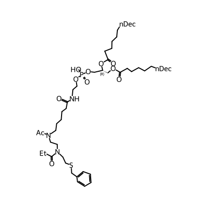 CCCCCCCCCCCCCCCC(=O)OC[C@H](COP(=O)(O)OCCNC(=O)CCCCCN(CCN(CCSCc1ccccc1)C(=O)CC)C(C)=O)OC(=O)CCCCCCCCCCCCCCC